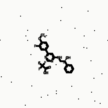 O=C(O)C(F)(F)F.O[C@@H](CNc1cc(-c2ccc(OC(F)(F)F)c(F)c2)ncn1)c1ccccc1